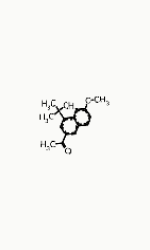 COc1ccc2cc(C(C)=O)cc(C(C)(C)C)c2c1